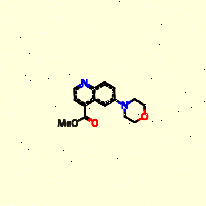 COC(=O)c1ccnc2ccc(N3CCOCC3)cc12